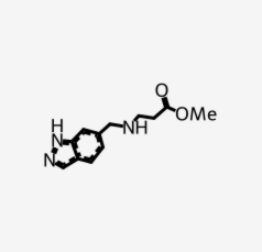 COC(=O)CCNCc1ccc2cn[nH]c2c1